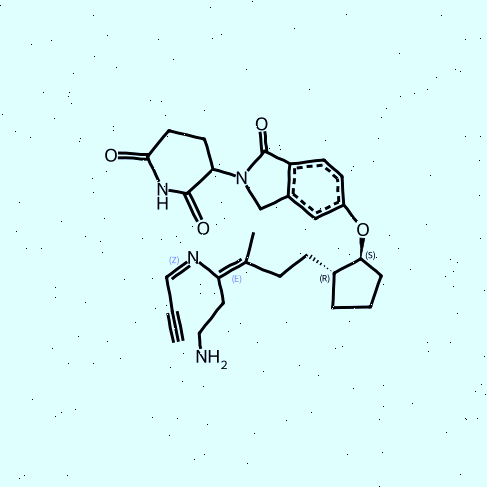 C#C/C=N\C(CCN)=C(/C)CC[C@H]1CCC[C@@H]1Oc1ccc2c(c1)CN(C1CCC(=O)NC1=O)C2=O